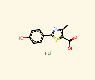 Cc1nc(-c2ccc(O)cc2)sc1C(=O)O.Cl